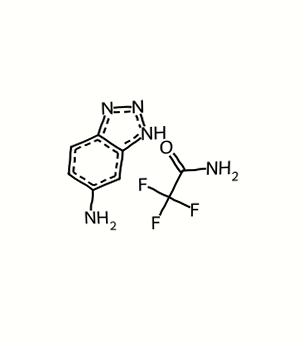 NC(=O)C(F)(F)F.Nc1ccc2nn[nH]c2c1